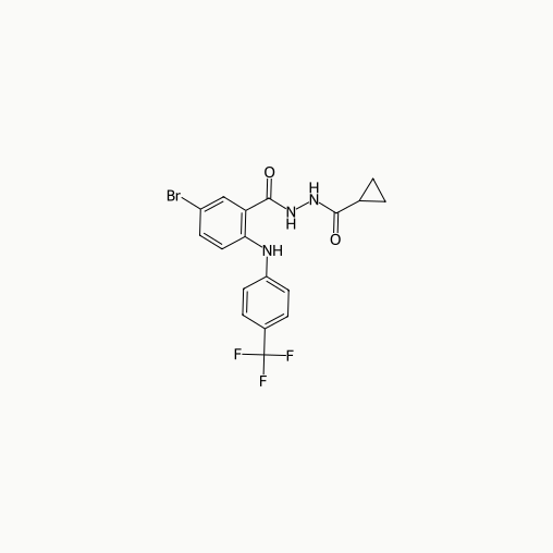 O=C(NNC(=O)C1CC1)c1cc(Br)ccc1Nc1ccc(C(F)(F)F)cc1